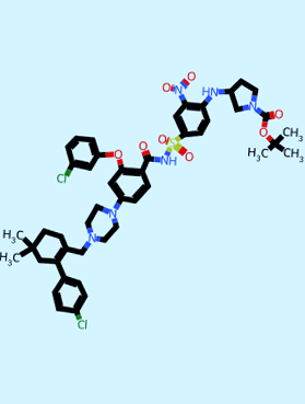 CC1(C)CCC(CN2CCN(c3ccc(C(=O)NS(=O)(=O)c4ccc(NC5CCN(C(=O)OC(C)(C)C)C5)c([N+](=O)[O-])c4)c(Oc4cccc(Cl)c4)c3)CC2)=C(c2ccc(Cl)cc2)C1